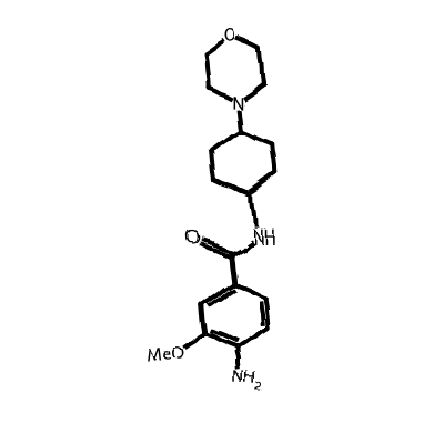 COc1cc(C(=O)NC2CCC(N3CCOCC3)CC2)ccc1N